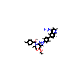 CCOC(=O)c1cn(-c2ccc(-c3ccc4nccc(N)c4c3)cc2)nc1N(C(=O)C1CCC(C)CC1)C(C)C